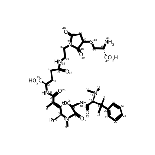 C/C(=C\[C@H](C(C)C)N(C)C(=O)C(NC(=O)[C@@H](N(C)C)C(C)(C)c1ccccc1)C(C)(C)C)C(=O)N[C@H](CCC(=O)NCCN1C(=O)CC(SC[C@H](N)C(=O)O)C1=O)C(=O)O